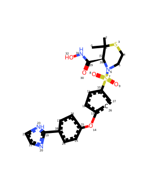 CC1(C)SCCN(S(=O)(=O)c2ccc(Oc3ccc(-c4ncc[nH]4)cc3)cc2)[C@H]1C(=O)NO